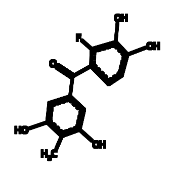 Cc1c(O)cc(C(=O)c2ccc(O)c(O)c2F)cc1O